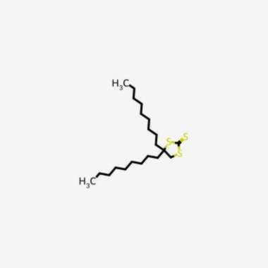 CCCCCCCCCC1(CCCCCCCCC)CSC(=S)S1